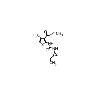 CCOC(=O)c1c(C)csc1NC(=O)NC1CC1CC